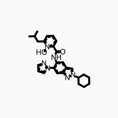 CC(C)Cc1cccc(C(=O)Nc2cc3cn(C4CCCCC4)nc3cc2-n2cccn2)[n+]1O